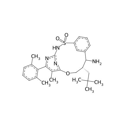 Cc1cccc(C)c1-c1nc2nc(c1C)OC[C@@H](CC(C)(C)C)C(N)c1cccc(c1)S(=O)(=O)N2